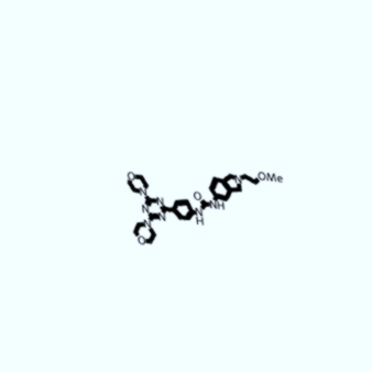 COCCN1Cc2ccc(NC(=O)Nc3ccc(-c4nc(N5CCOCC5)nc(N5CCOCC5)n4)cc3)cc2C1